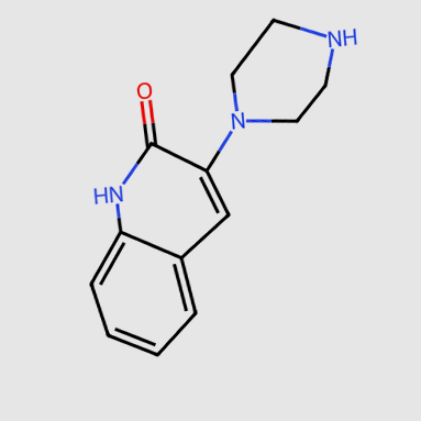 O=c1[nH]c2ccccc2cc1N1CCNCC1